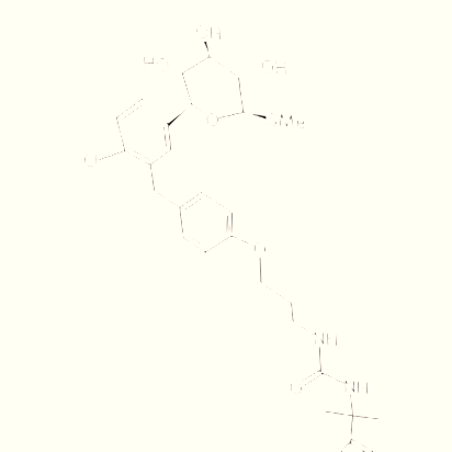 CS[C@H]1O[C@@H](c2ccc(Cl)c(Cc3ccc(OCCCNC(=O)NC(C)(C)C(N)=O)cc3)c2)[C@H](O)[C@@H](O)[C@@H]1O